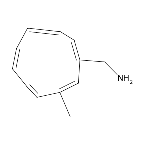 Cc1cccccccc(CN)c1